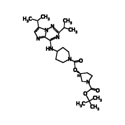 CC(C)c1nc(NC2CCN(C(=O)O[C@H]3CCN(C(=O)OC(C)(C)C)C3)CC2)c2ncc(C(C)C)n2n1